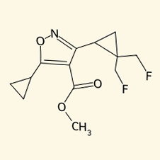 COC(=O)c1c(C2CC2(CF)CF)noc1C1CC1